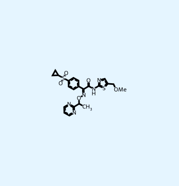 COCc1cnc(NC(=O)/C(=N/OC(C)c2ncccn2)c2ccc(S(=O)(=O)C3CC3)cc2)s1